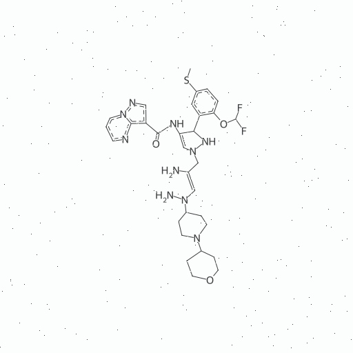 CSc1ccc(OC(F)F)c(C2NN(C/C(N)=C/N(N)C3CCN(C4CCOCC4)CC3)C=C2NC(=O)c2cnn3cccnc23)c1